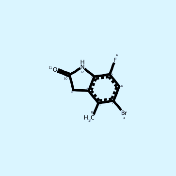 Cc1c(Br)cc(F)c2c1CC(=O)N2